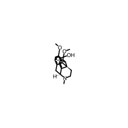 COC1=C[C@@]23CCN(C)[C@@H](Cc4ccc(OC)c(O)c42)C3=CC1=O